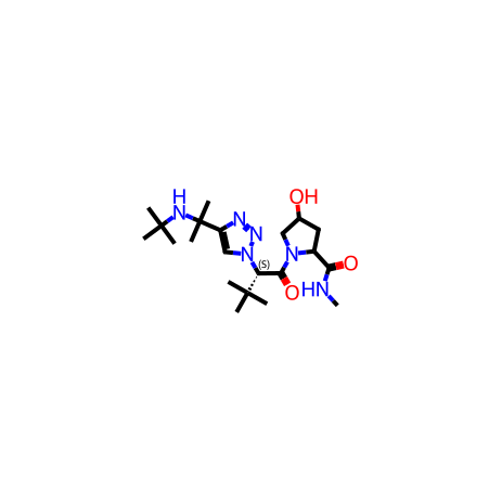 CNC(=O)C1CC(O)CN1C(=O)[C@@H](n1cc(C(C)(C)NC(C)(C)C)nn1)C(C)(C)C